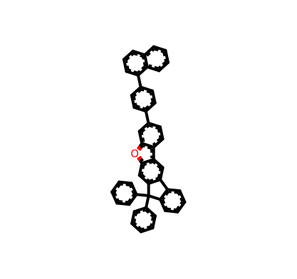 c1ccc(C2(c3ccccc3)c3ccccc3-c3cc4c(cc32)oc2cc(-c3ccc(-c5cccc6ccccc56)cc3)ccc24)cc1